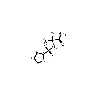 O=C(C(F)(F)F)C(F)(OC(F)(F)C1CCCO1)C(F)(F)F